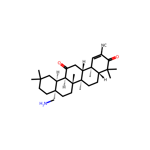 [C-]#[N+]C1=C[C@]2(C)[C@H]3CC(=O)[C@@H]4[C@@H]5CC(C)(C)CC[C@]5(CN)CC[C@@]4(C)[C@]3(C)CC[C@H]2C(C)(C)C1=O